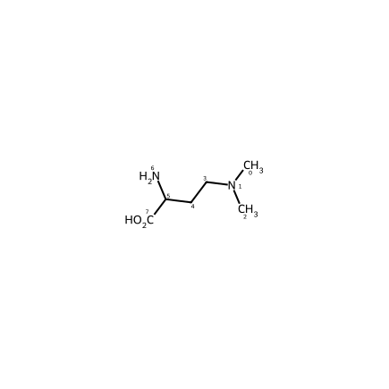 CN(C)CCC(N)C(=O)O